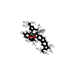 Cl.Cl.[CH2]=[Zr]([C]1=CC(C(C)(C)C)=CC1CC)([C]1=C(C(C)(C)C)c2cc3c(cc2C1(C)C)Cc1cc2c(cc1-3)C(C(C)(C)C)=CC2(C)C)([c]1cccc(Cl)c1)[c]1cccc(Cl)c1